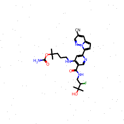 CC(C)(CCCNc1cc(-c2ccc3cc(C#N)cnn23)ncc1C(=O)NCC(F)C(C)(C)O)OC(N)=O